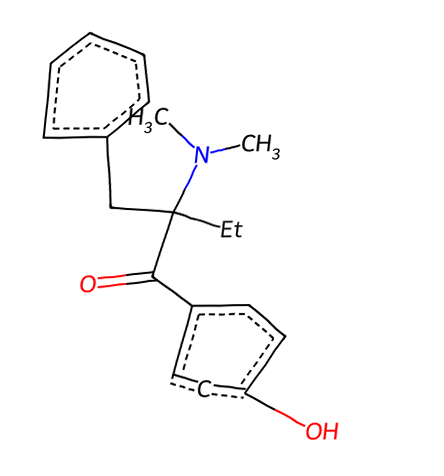 CCC(Cc1ccccc1)(C(=O)c1ccc(O)cc1)N(C)C